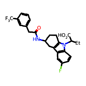 CCC(C(=O)O)n1c2c(c3cc(F)ccc31)CC(NC(=O)Cc1cccc(C(F)(F)F)c1)CC2